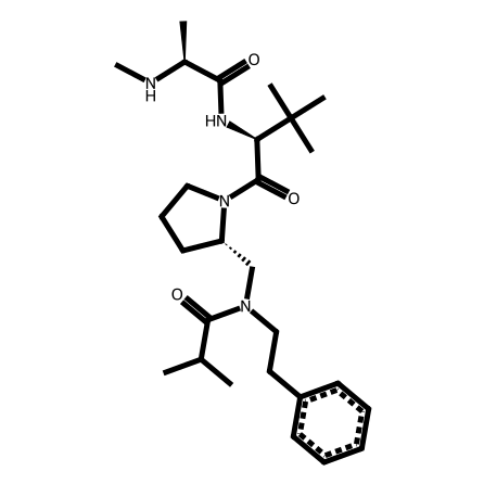 CN[C@@H](C)C(=O)N[C@H](C(=O)N1CCC[C@H]1CN(CCc1ccccc1)C(=O)C(C)C)C(C)(C)C